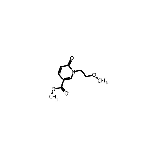 COCCn1cc(C(=O)OC)ccc1=O